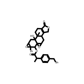 CC(C)Cc1ccc(C(C)C(=O)OC2C3(C(C)C)OC3CC3(O)C4(C)CCC5=C(COC5=O)C4CC4OC423)cc1